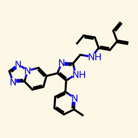 C=CC(=C)/C=C(\C=C/C)NCc1nc(-c2ccc3ncnn3c2)c(-c2cccc(C)n2)[nH]1